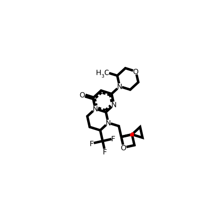 CC1COCCN1c1cc(=O)n2c(n1)N(CC1(C3CC3)CCO1)C(C(F)(F)F)CC2